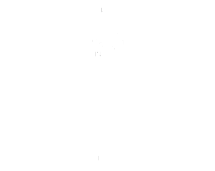 CCCCCCCCCCCCNS(=O)(=O)c1cc(I)ccc1I